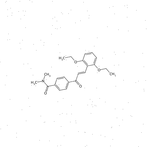 CCOc1cccc(OCC)c1C=CC(=O)c1ccc(C(=O)N(C)C)cc1